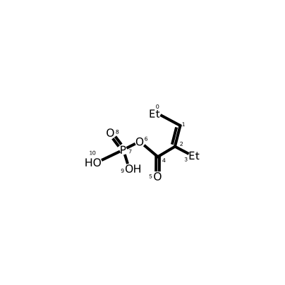 CCC=C(CC)C(=O)OP(=O)(O)O